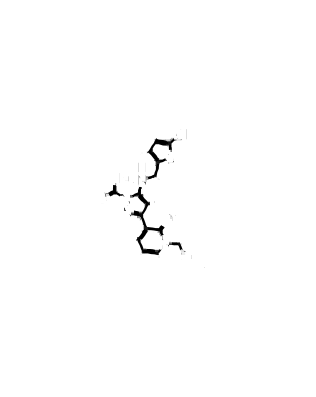 CC(C)(C)C(=O)n1nc(-c2cccn(CC(=O)O)c2=O)cc1NCc1ccc(Cl)s1